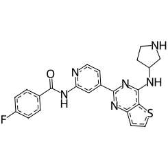 O=C(Nc1cc(-c2nc(NC3CCNC3)c3sccc3n2)ccn1)c1ccc(F)cc1